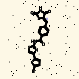 O=C1NC(=O)/C(=C/c2ccc(C(=O)Nc3nc(-c4ccc(Br)s4)cs3)cc2)S1